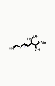 CNC(O)C(/C=C/SC=N)NO